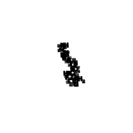 N=C(/C(=C\N)c1ccc2ncc(N3CCn4nc(C5=CCNC5)nc4C3)cc2n1)c1cc(Cl)ccc1F